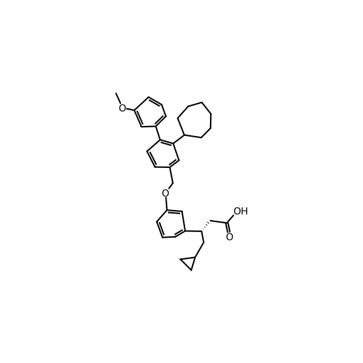 COc1cccc(-c2ccc(COc3cccc([C@H](CC(=O)O)CC4CC4)c3)cc2C2CCCCCC2)c1